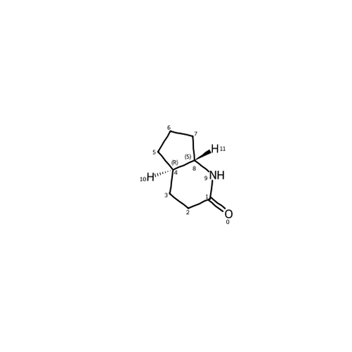 O=C1CC[C@H]2CCC[C@@H]2N1